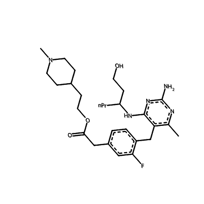 CCCC(CCO)Nc1nc(N)nc(C)c1Cc1ccc(CC(=O)OCCC2CCN(C)CC2)cc1F